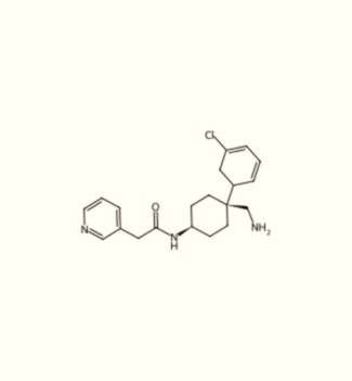 NC[C@]1(C2C=CC=C(Cl)C2)CC[C@H](NC(=O)Cc2cccnc2)CC1